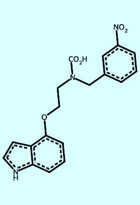 O=C(O)N(CCOc1cccc2[nH]ccc12)Cc1cccc([N+](=O)[O-])c1